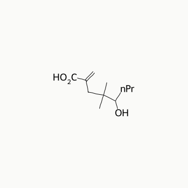 C=C(CC(C)(C)C(O)CCC)C(=O)O